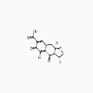 C[C@H]1CO[C@@H]2Cn3cc(C(=O)O)c(=O)c(Cl)c3C(=O)N12